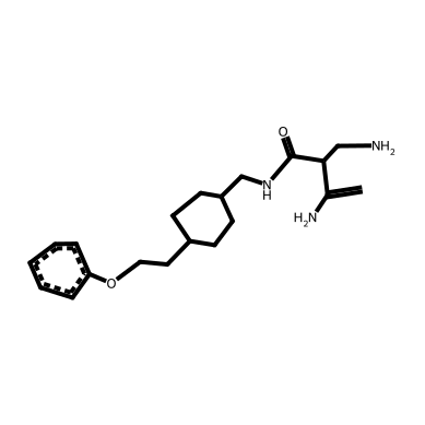 C=C(N)C(CN)C(=O)NCC1CCC(CCOc2ccccc2)CC1